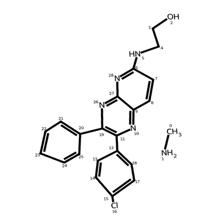 CN.OCCNc1ccc2nc(-c3ccc(Cl)cc3)c(-c3ccccc3)nc2n1